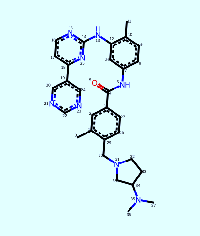 Cc1cc(C(=O)Nc2ccc(C)c(Nc3nccc(-c4cncnc4)n3)c2)ccc1CN1CCC(N(C)C)C1